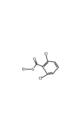 CCSC(=O)c1c(Cl)cccc1Cl